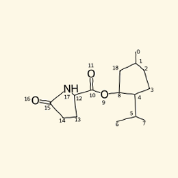 CC1CCC(C(C)C)C(OC(=O)C2CCC(=O)N2)C1